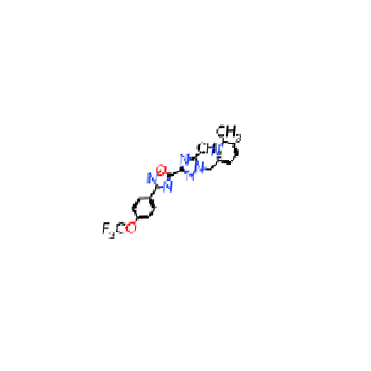 Cc1cccc(Cn2nc(-c3nc(-c4ccc(OC(F)(F)F)cc4)no3)nc2C)n1